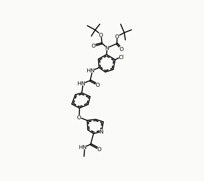 CNC(=O)c1cc(Oc2ccc(NC(=O)Nc3ccc(Cl)c(N(C(=O)OC(C)(C)C)C(=O)OC(C)(C)C)c3)cc2)ccn1